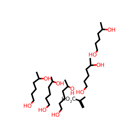 C=C(C)C(=O)O.CC(O)CCCCO.CC(O)CCCCO.CC(O)CCCCO.CC(O)CCCCO.CC(O)CCCCO